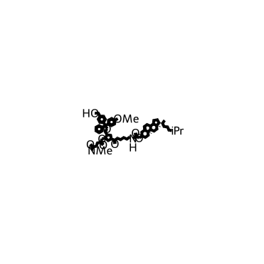 CNC(=O)CCC(=O)OC1CC(C(=O)CCCCCNC(=O)OC2CC[C@@]3(C)C(=CCC4C3CC[C@@]3(C)C4CC[C@@H]3C(C)CCCC(C)C)C2)CC1COC(c1ccccc1)(c1ccc(CO)cc1)c1ccc(OC)cc1